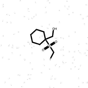 O=S(=O)(CI)C1(CO)CCCCC1